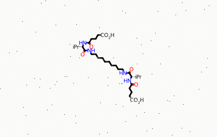 CC(C)[C@H](NC(=O)CCCC(=O)O)C(=O)NCCCCCCCCCCNC(=O)[C@@H](NC(=O)CCCC(=O)O)C(C)C